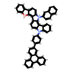 c1ccc2cc(-n3c4ccc5c6ccccc6oc5c4c4ccc5c(c6ccccc6n5-c5ccc(-c6ccc7c8ccccc8c8ccccc8c7c6)cc5)c43)ccc2c1